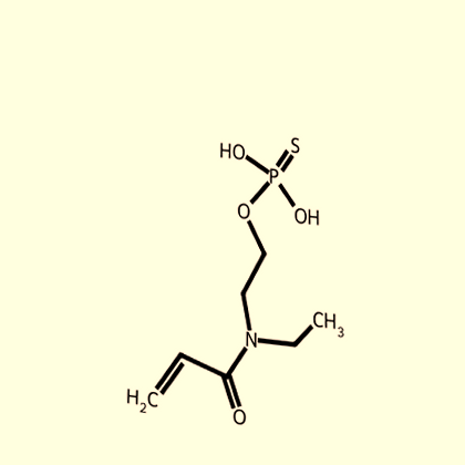 C=CC(=O)N(CC)CCOP(O)(O)=S